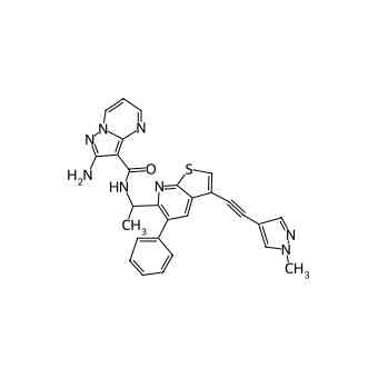 CC(NC(=O)c1c(N)nn2cccnc12)c1nc2scc(C#Cc3cnn(C)c3)c2cc1-c1ccccc1